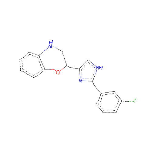 Fc1cccc(-c2nc(C3CNc4ccccc4O3)c[nH]2)c1